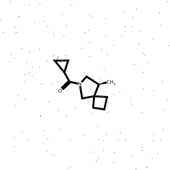 C[C@@H]1CN(C(=O)C2CC2)CC12CCC2